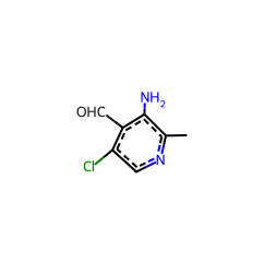 Cc1ncc(Cl)c(C=O)c1N